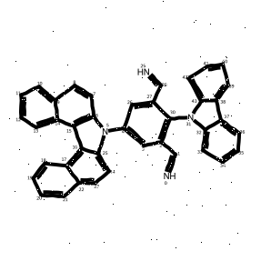 N=Cc1cc(-n2c3ccc4ccccc4c3c3c4ccccc4ccc32)cc(C=N)c1-n1c2ccccc2c2ccccc21